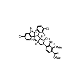 COC(=O)c1ccc(C2C[C@@H]3N[C@@]4(C(=O)Nc5cc(Cl)ccc54)[C@@H](c4cccc(Cl)c4F)[C@@H]3N2O)c(N)c1OC